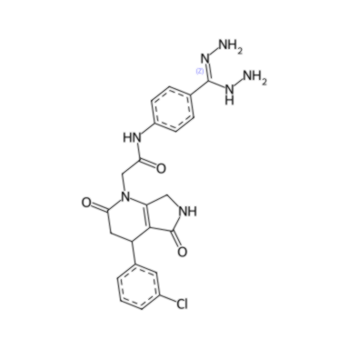 N/N=C(\NN)c1ccc(NC(=O)CN2C(=O)CC(c3cccc(Cl)c3)C3=C2CNC3=O)cc1